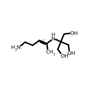 C/C(=C\CCN)NC(CO)(CO)CO